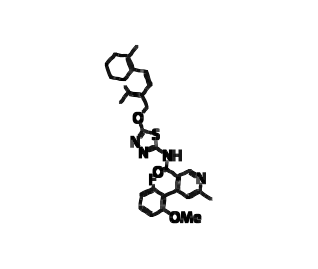 COc1cccc(F)c1-c1cc(C)ncc1C(=O)Nc1nnc(OCC(/C=C\C2=C(C)CCCC2)=C(C)C)s1